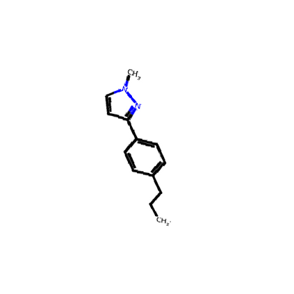 [CH2]CCc1ccc(-c2ccn(C)n2)cc1